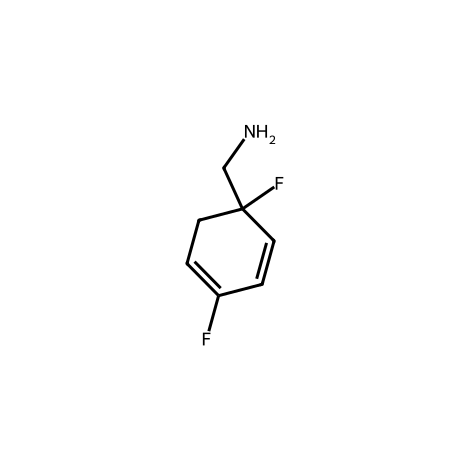 NCC1(F)C=CC(F)=CC1